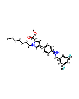 CCCCCCCn1cc(-c2ccc(NCc3cc(F)cc(F)c3)cc2)cc1C(=O)OC